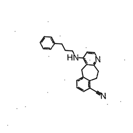 N#Cc1cccc2c1CCc1nccc(NCCCc3ccccc3)c1C2